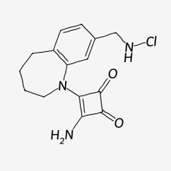 Nc1c(N2CCCCc3ccc(CNCl)cc32)c(=O)c1=O